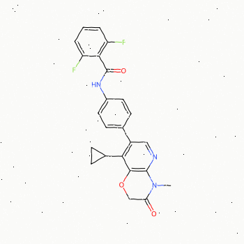 CN1C(=O)COc2c1ncc(-c1ccc(NC(=O)c3c(F)cccc3F)cc1)c2C1CC1